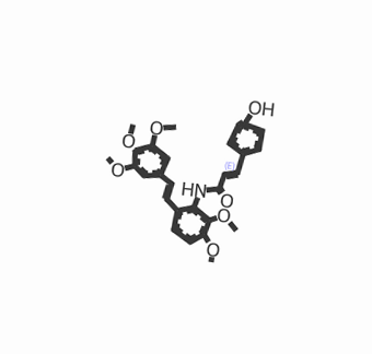 COc1cc(C=Cc2ccc(OC)c(OC)c2NC(=O)/C=C/c2ccc(O)cc2)cc(OC)c1OC